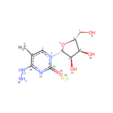 Cc1cn([C@@H]2O[C@H](CO)[C@@H](O)[C@H]2O)c(=O)nc1NN.S